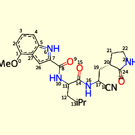 COc1cccc2[nH]c(C(=O)NC(CC(C)C)C(=O)NC(C#N)C[C@@H]3CCNC3=O)cc12